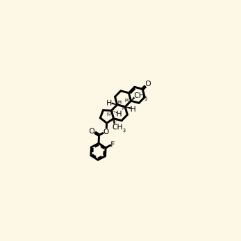 C[C@]12CCC(=O)C=C1CC[C@@H]1[C@H]2CC[C@]2(C)C(OC(=O)c3ccccc3F)CC[C@@H]12